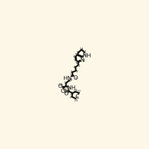 O=C(CCCCc1ccc2c(n1)NCCC2)NCCC(NC(=O)C1CCCCC1)C(=O)O